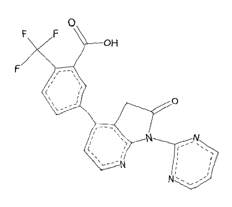 O=C(O)c1cc(-c2ccnc3c2CC(=O)N3c2ncccn2)ccc1C(F)(F)F